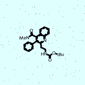 CNC(=O)c1c(-c2ccccc2)c(CCNC(=O)OC(C)(C)C)nc2ccccc12